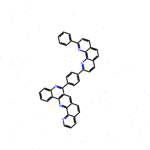 c1ccc(-c2ccc3ccc4ccc(-c5ccc(-c6nc7ccccc7c7nc8c(ccc9cccnc98)cc67)cc5)nc4c3n2)cc1